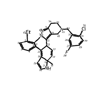 CCc1cccc2c1-n1nc3c(c1C1C=CC4(C)NC=CC4=C21)CN(Cc1cc(F)ccc1Cl)CC3